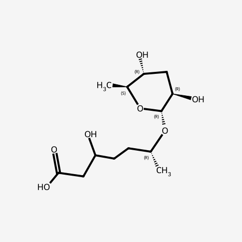 C[C@H](CCC(O)CC(=O)O)O[C@@H]1O[C@@H](C)[C@H](O)C[C@H]1O